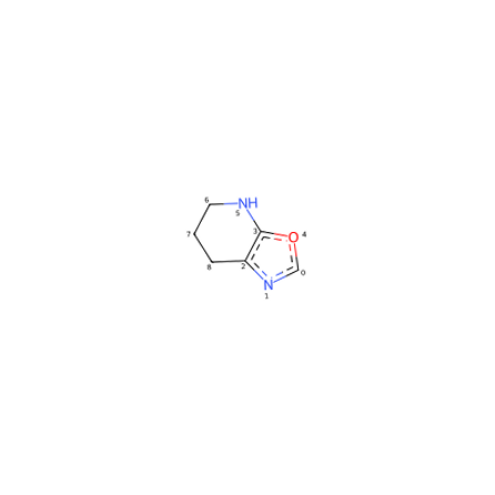 c1nc2c(o1)NCCC2